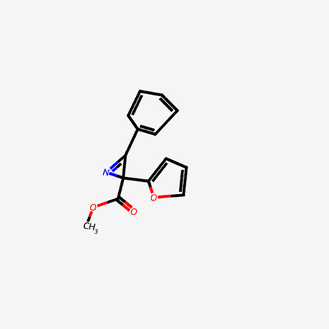 COC(=O)C1(c2ccco2)N=C1c1ccccc1